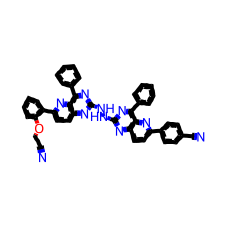 N#CCOc1ccccc1-c1ccc2nc(NNc3nc(-c4ccccc4)c4nc(-c5ccc(C#N)cc5)ccc4n3)nc(-c3ccccc3)c2n1